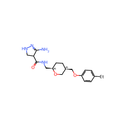 CCc1ccc(OC[C@@H]2CC[C@H](CNC(=O)C3CNN=C3N)OC2)cc1